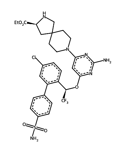 CCOC(=O)[C@@H]1CC2(CCN(c3cc(O[C@H](c4ccc(Cl)cc4-c4ccc(S(N)(=O)=O)cc4)C(F)(F)F)nc(N)n3)CC2)CN1